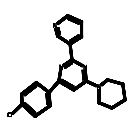 Clc1ccc(-c2cc(N3CCCCC3)nc(-c3cccnc3)n2)cc1